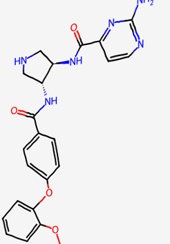 COc1ccccc1Oc1ccc(C(=O)N[C@@H]2CNC[C@H]2NC(=O)c2ccnc(N)n2)cc1